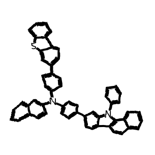 c1ccc(-n2c3cc(-c4ccc(N(c5ccc(-c6ccc7c(c6)sc6ccccc67)cc5)c5ccc6ccccc6c5)cc4)ccc3c3ccc4ccccc4c32)cc1